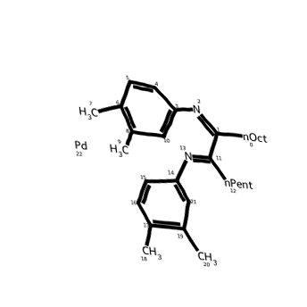 CCCCCCCCC(=Nc1ccc(C)c(C)c1)C(CCCCC)=Nc1ccc(C)c(C)c1.[Pd]